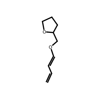 C=CC=COCC1CCCO1